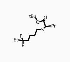 CCC(F)(F)CCCCSC(C(=O)OC(C)(C)C)C(C)C